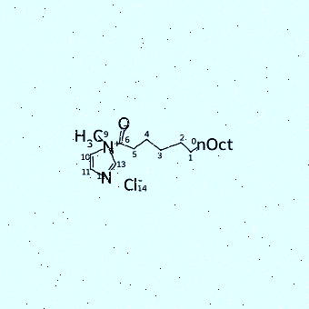 CCCCCCCCCCCCCC(=O)[N+]1(C)C=CN=C1.[Cl-]